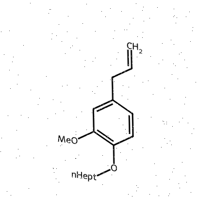 C=CCc1ccc(OCCCCCCC)c(OC)c1